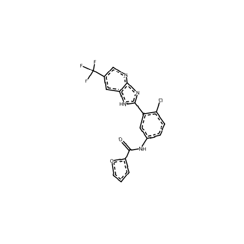 O=C(Nc1ccc(Cl)c(-c2nc3ncc(C(F)(F)F)cc3[nH]2)c1)c1ccco1